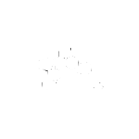 CC(C)C[C@@H]1NCCN([C@@H](CC(C)C)C(=O)N2CC[C@]3(C[C@@H]2C)OC[C@@H](CN2CCC2)CO3)C1=O